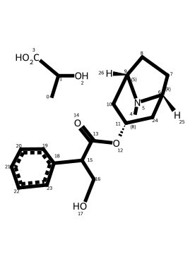 CC(O)C(=O)O.CN1[C@@H]2CC[C@H]1C[C@@H](OC(=O)C(CO)c1ccccc1)C2